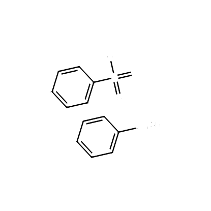 CCCCc1ccccc1.O=S(=O)([O-])c1ccccc1.[Na+]